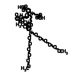 COCCOCCOCCOCCOCCOCCN(CCOCCOCCOCCOCCOCCOC)c1ccc2c(c1)OC(/C=C/C=C1/N(CCCS(=O)(=O)O)c3ccc(S(=O)(=O)O)cc3C1(C)CCCC(=O)ON1C(=O)CCC1=O)C=C2C(C)(C)C